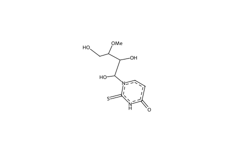 COC(CO)C(O)C(O)n1ccc(=O)[nH]c1=S